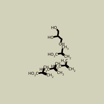 C=C(C)C(=O)O.C=C(C)C(=O)O.C=C(C)C(=O)O.C=C(C)C(=O)O.OCC(O)CO